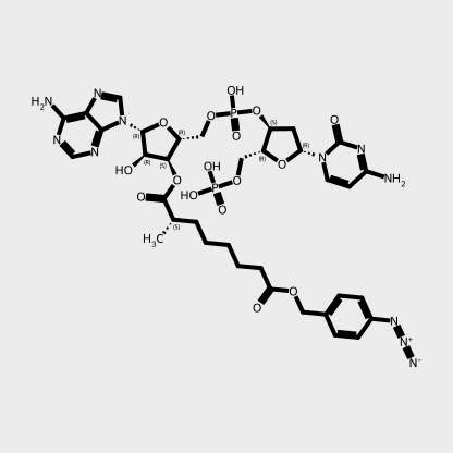 C[C@@H](CCCCCC(=O)OCc1ccc(N=[N+]=[N-])cc1)C(=O)O[C@H]1[C@@H](O)[C@H](n2cnc3c(N)ncnc32)O[C@@H]1COP(=O)(O)O[C@H]1C[C@H](n2ccc(N)nc2=O)O[C@@H]1COP(=O)(O)O